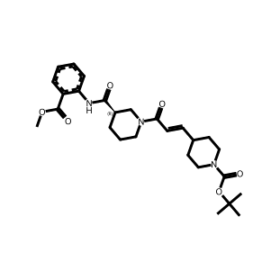 COC(=O)c1ccccc1NC(=O)[C@@H]1CCCN(C(=O)C=CC2CCN(C(=O)OC(C)(C)C)CC2)C1